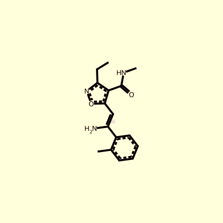 CCc1noc(/C=C(\N)c2ccccc2C)c1C(=O)NC